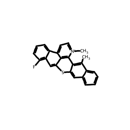 Cc1c2c(cc3ccccc13)Sc1cc3c(F)cccc3c3cc[n+](C)c-2c13